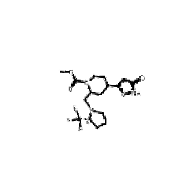 COC(=O)N1CCC(c2cc(=O)[nH]o2)CC1CN1CCC[C@@H]1C(F)(F)F